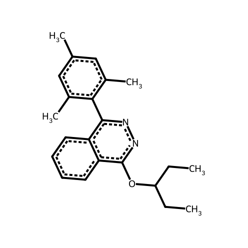 CCC(CC)Oc1nnc(-c2c(C)cc(C)cc2C)c2ccccc12